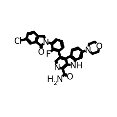 NC(=O)c1ncc(-c2cccc(N3Cc4ccc(Cl)cc4C3=O)c2F)c2c1[nH]c1cc(N3CCOCC3)ccc12